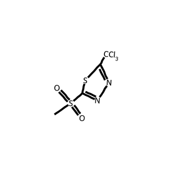 CS(=O)(=O)c1nnc(C(Cl)(Cl)Cl)s1